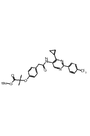 CC(C)(C)OC(=O)C(C)(C)Oc1ccc(CC(=O)Nc2cnc(-c3ccc(C(F)(F)F)cc3)nc2C2CC2)cc1